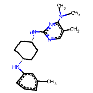 Cc1cccc(N[C@H]2CC[C@@H](Nc3ncc(C)c(N(C)C)n3)CC2)c1